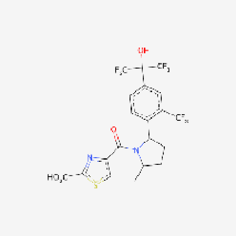 CC1CCC(c2ccc(C(O)(C(F)(F)F)C(F)(F)F)cc2C(F)(F)F)N1C(=O)c1csc(C(=O)O)n1